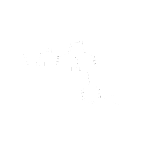 CS(=O)(=O)c1cccc(C2C=CC3NC=C(C(=O)NC4NC=CS4)N3N2)c1